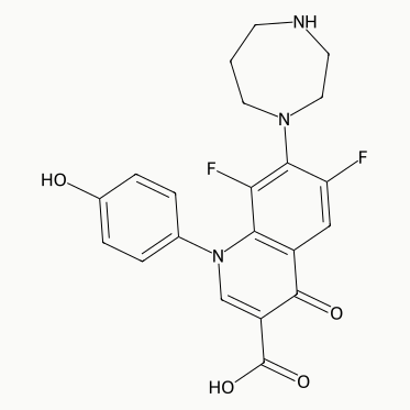 O=C(O)c1cn(-c2ccc(O)cc2)c2c(F)c(N3CCCNCC3)c(F)cc2c1=O